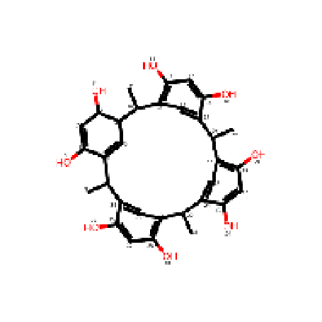 CC1C2=CC(C(O)C=C2O)C(C)c2cc(c(O)cc2O)C(C)c2cc(c(O)cc2O)C(C)c2cc1c(O)cc2O